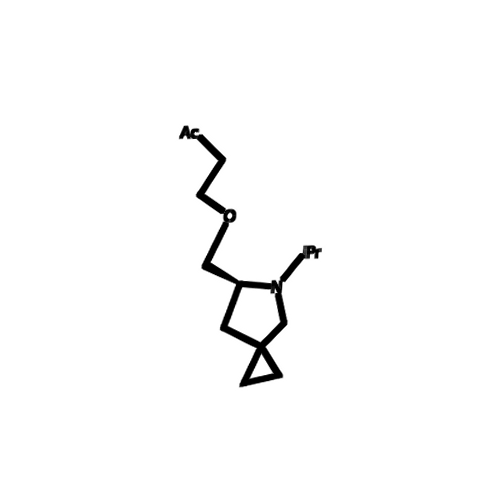 CC(=O)CCOC[C@@H]1CC2(CC2)CN1C(C)C